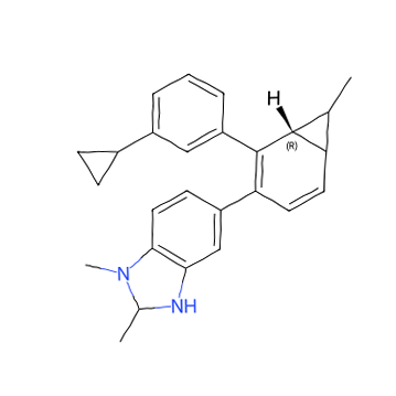 CC1C2C=CC(c3ccc4c(c3)NC(C)N4C)=C(c3cccc(C4CC4)c3)[C@H]12